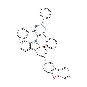 c1ccc(-c2nc(-c3ccccc3)c(-n3c4ccccc4c4cc(-c5ccc6oc7ccccc7c6c5)ccc43)c(-c3ccccc3)n2)cc1